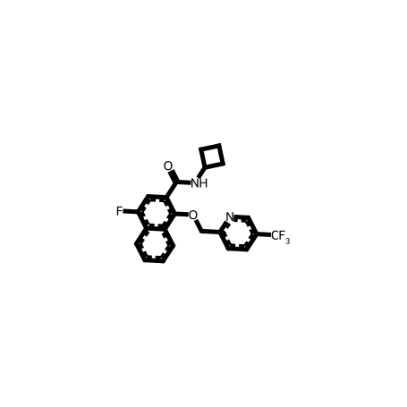 O=C(NC1CCC1)c1cc(F)c2ccccc2c1OCc1ccc(C(F)(F)F)cn1